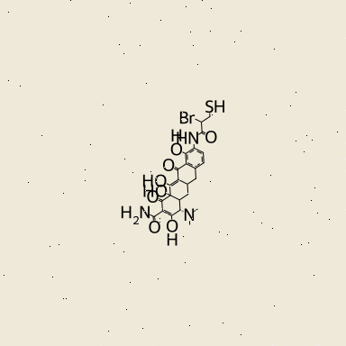 CN(C)[C@@H]1C(O)=C(C(N)=O)C(=O)C2(O)C(O)=C3C(=O)c4c(ccc(NC(=O)C(Br)CS)c4O)CC3CC12